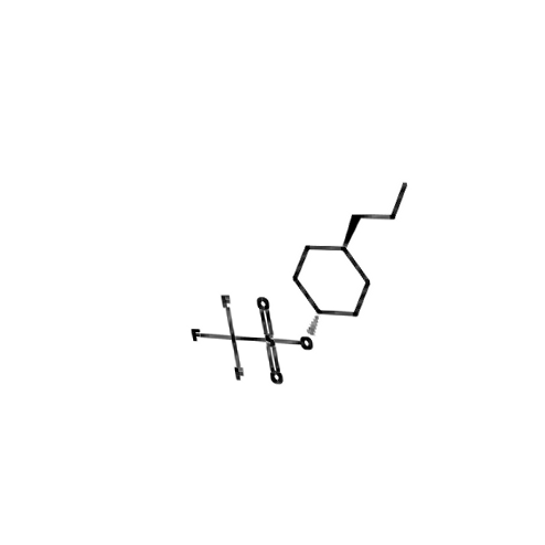 CCC[C@H]1CC[C@H](OS(=O)(=O)C(F)(F)F)CC1